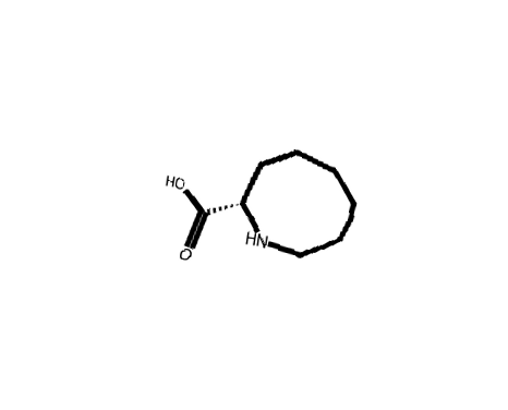 O=C(O)[C@@H]1CCCCCCN1